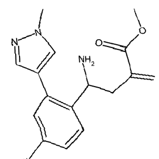 C=C(CC(N)c1ccc(Cl)cc1-c1cnn(C)c1)C(=O)OC